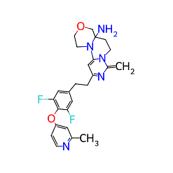 C=C1N=C(CCc2cc(F)c(Oc3ccnc(C)c3)c(F)c2)C=C2N1CCC1(N)COCCN21